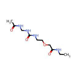 CCNC(=O)COCCNC(=O)NCNC(C)=O